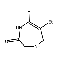 CCC1=C(CC)NC(=O)CNC1